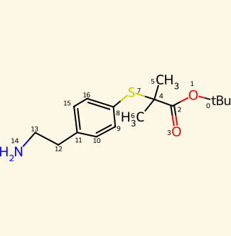 CC(C)(C)OC(=O)C(C)(C)Sc1ccc(CCN)cc1